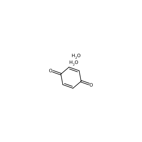 O.O.O=C1C=CC(=O)C=C1